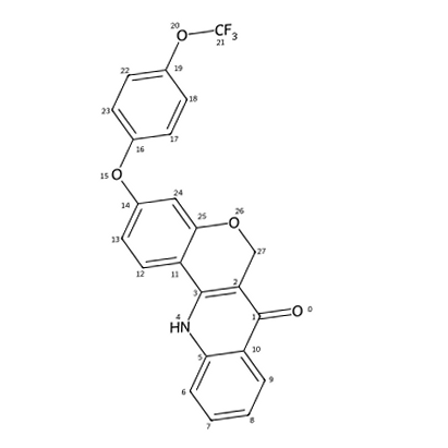 O=c1c2c([nH]c3ccccc13)-c1ccc(Oc3ccc(OC(F)(F)F)cc3)cc1OC2